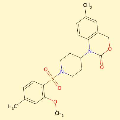 COc1cc(C)ccc1S(=O)(=O)N1CCC(N2C(=O)OCc3cc(C)ccc32)CC1